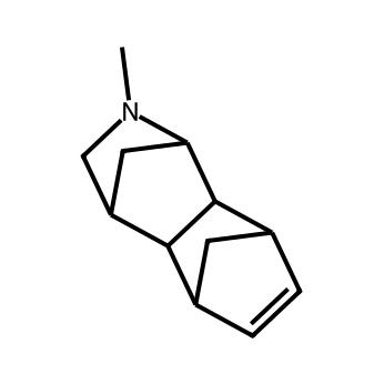 CN1CC2CC1C1C3C=CC(C3)C21